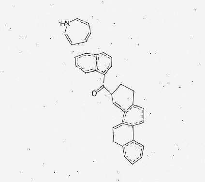 C1=CC=CNC=C1.O=C(c1cccc2ccccc12)C1C=c2c(ccc3c2=CCc2ccccc2-3)CC1